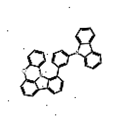 c1cc(-c2cccc3c4cccc5c4n(c23)-c2ccccc2O5)cc(-n2c3ccccc3c3ccccc32)c1